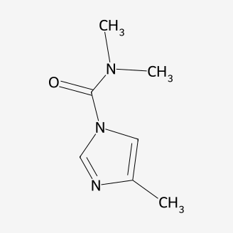 Cc1cn(C(=O)N(C)C)cn1